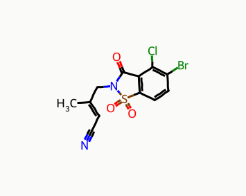 CC(=CC#N)CN1C(=O)c2c(ccc(Br)c2Cl)S1(=O)=O